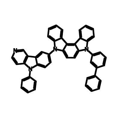 c1ccc(-c2cccc(-n3c4ccccc4c4c5c6ccccc6n(-c6ccc7c(c6)c6cnccc6n7-c6ccccc6)c5ccc43)c2)cc1